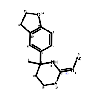 CC(=O)/N=C1\NC(C)(c2ccc3c(c2)CCO3)CCS1